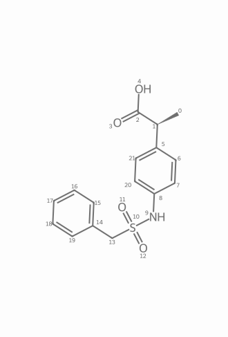 C[C@H](C(=O)O)c1ccc(NS(=O)(=O)Cc2ccccc2)cc1